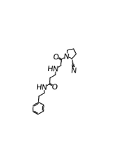 N#C[C@@H]1CCCN1C(=O)CNCCC(=O)NCCc1ccccc1